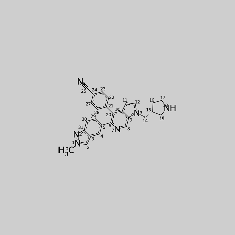 Cn1cc2cc(-c3ncc4c(ccn4C[C@@H]4CCNC4)c3-c3ccc(C#N)cc3)ccc2n1